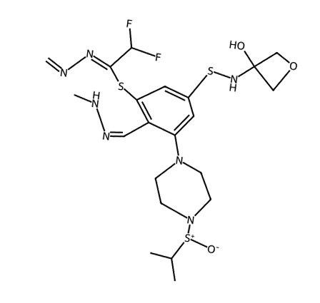 C=N/N=C(\Sc1cc(SNC2(O)COC2)cc(N2CCN([S+]([O-])C(C)C)CC2)c1/C=N\NC)C(F)F